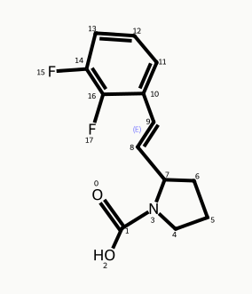 O=C(O)N1CCCC1/C=C/c1cccc(F)c1F